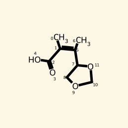 CC(C(=O)O)=C(C)C1COCO1